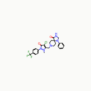 Cn1c(CN2CCC3(CC2)C(=O)NCN3c2ccccc2)c(Cl)c(=O)n1-c1ccc(C(F)(F)F)cc1